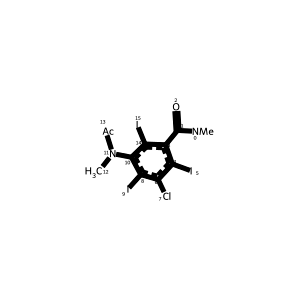 CNC(=O)c1c(I)c(Cl)c(I)c(N(C)C(C)=O)c1I